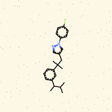 CC(C)C(C)c1cccc(C(C)(C)Cc2cnn(-c3ccc(F)cc3)c2)c1